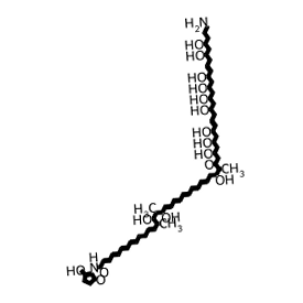 CC(/C=C/CC/C=C/C=C/C=C/C=C/C(=O)NC1=C(O)CCC1=O)C(O)C(C)C(O)/C=C/C=C/C=C/C=C/C=C/CC(O)C(C)C(=O)CC(O)CC(O)CC(O)/C=C/CC(O)CC(O)CC(O)CC(O)/C=C/CC(O)CC(O)CCCN